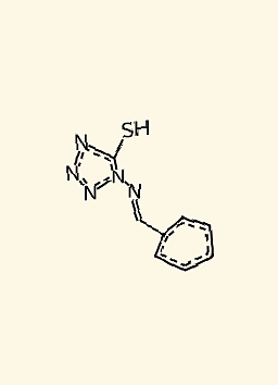 Sc1nnnn1/N=C/c1ccccc1